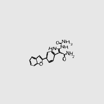 NC(=O)Nc1[nH]c2cc(-c3cc4ccccc4o3)ccc2c1C(N)=O